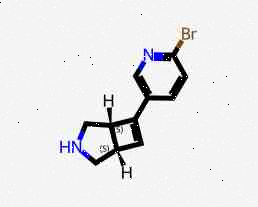 Brc1ccc(C2=C[C@@H]3CNC[C@H]23)cn1